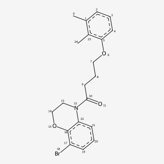 Cc1cccc(OCCCC(=O)N2CCOc3c(Br)cccc32)c1C